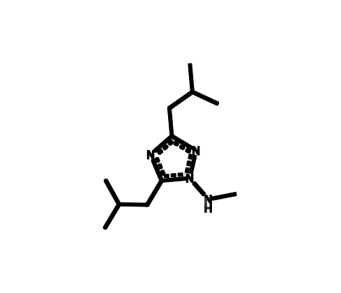 CNn1nc(CC(C)C)nc1CC(C)C